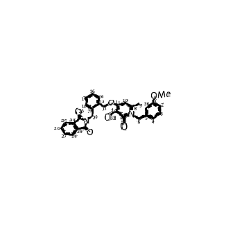 COc1cccc(Cn2c(C)cc(OCc3ccccc3CN3C(=O)c4ccccc4C3=O)c(Cl)c2=O)c1